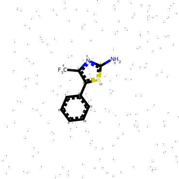 Nc1nc(C(F)(F)F)c(-c2ccccc2)s1